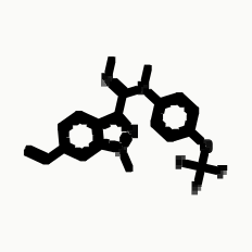 C=Cc1ccc2c(C(=NC)N(C)c3ccc(OC(F)(F)F)cc3)nn(C)c2c1